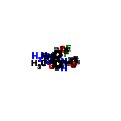 CN1C(=O)C(c2ccc(OC(F)F)cc2)(c2cccc(NCc3ccco3)c2)N=C1N